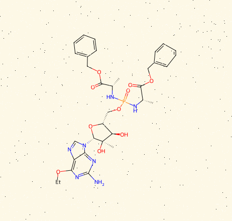 CCOc1nc(N)nc2c1ncn2[C@@H]1O[C@H](COP(=O)(N[C@@H](C)C(=O)OCc2ccccc2)N[C@@H](C)C(=O)OCc2ccccc2)[C@@H](O)[C@@]1(C)O